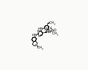 C=Cc1cc(N=S(C)(C)=O)nc(Nc2nc(Nc3ccc4c(c3)CN(C)CC4)ncc2C#N)c1